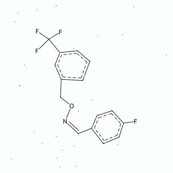 Fc1ccc(/[C]=N\OCc2cccc(C(F)(F)F)c2)cc1